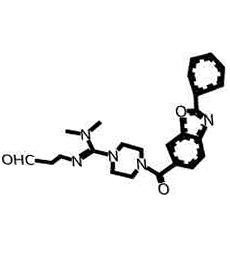 CN(C)/C(=N\CCC=O)N1CCN(C(=O)c2ccc3nc(-c4ccccc4)oc3c2)CC1